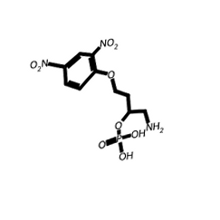 NCC(CCOc1ccc([N+](=O)[O-])cc1[N+](=O)[O-])OP(=O)(O)O